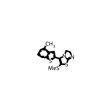 CSC1=C(c2cc3c(C)cccc3s2)N2CCN=C2S1